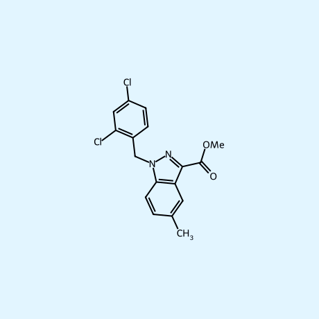 COC(=O)c1nn(Cc2ccc(Cl)cc2Cl)c2ccc(C)cc12